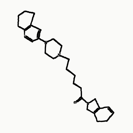 O=C(CCCCCN1CCN(c2ccc3c(c2)CCCC3)CC1)N1CC2=C(CCC=C2)C1